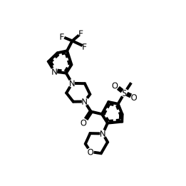 CS(=O)(=O)c1ccc(N2CCOCC2)c(C(=O)N2CCN(c3cc(C(F)(F)F)ccn3)CC2)c1